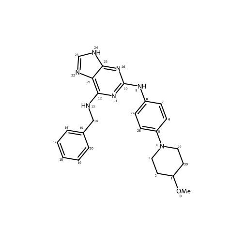 COC1CCN(c2ccc(Nc3nc(NCc4ccccc4)c4nc[nH]c4n3)cc2)CC1